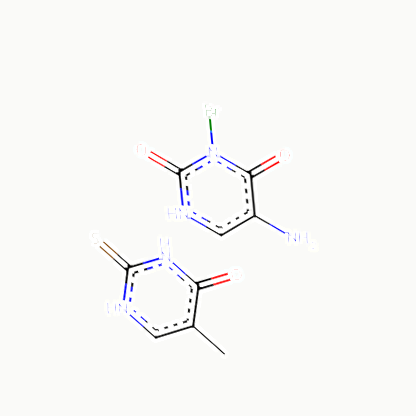 Cc1c[nH]c(=S)[nH]c1=O.Nc1c[nH]c(=O)n(Br)c1=O